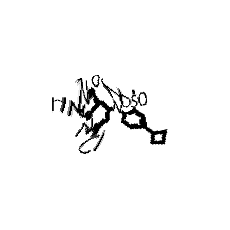 Cn1[nH]c2nc(Cl)cc(Nc3ccc(C4CCC4)cc3S(C)(=O)=O)c2c1=O